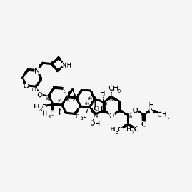 CNC(=O)O[C@H](C(C)C)C1C[C@@H](C)[C@H]2C(O1)[C@H](O)[C@@]1(C)C3CC[C@H]4C(C)(C)[C@@H](O[C@H]5CN(CC6CNC6)CCO5)CC[C@@]45C[C@@]35CC[C@]21C